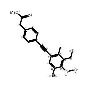 COC(=O)Cc1ccc(C#Cc2cc(C(C)(C)C)c(OC(C)C)c(CBr)c2C)cc1